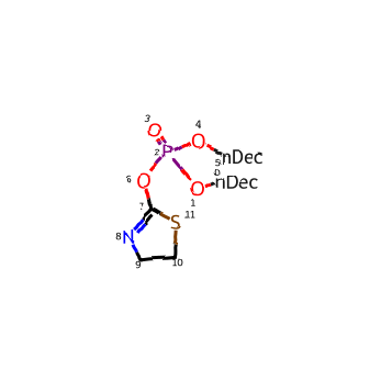 CCCCCCCCCCOP(=O)(OCCCCCCCCCC)OC1=NCCS1